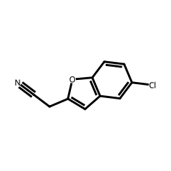 N#CCc1cc2cc(Cl)ccc2o1